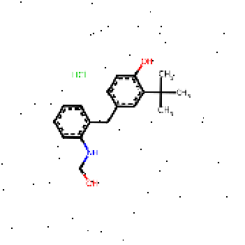 CC(C)(C)c1cc(Cc2ccccc2NCO)ccc1O.Cl